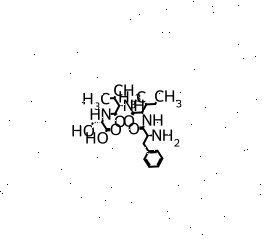 CC[C@H](C)[C@H](NC(=O)[C@@H](N)Cc1ccccc1)C(=O)N[C@H](C(=O)N[C@@H](CO)C(=O)O)C(C)C